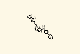 O=C(NCCCn1ccc2cnc(Nc3ccc(N4CCOCC4)nc3)nc21)c1cncs1